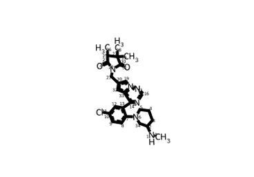 CNC1CCCN(c2ccc(Cl)cc2-c2ncnn3cc(CN4C(=O)C(C)C(C)(C)C4=O)cc23)C1